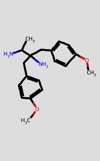 COc1ccc(CC(N)(Cc2ccc(OC)cc2)C(C)N)cc1